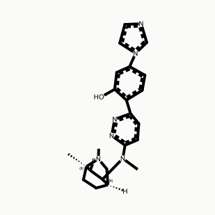 CN(c1ccc(-c2ccc(-n3ccnc3)cc2O)nn1)C1C(F)[C@@]2(C)CC[C@@H]1CN2C